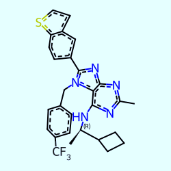 Cc1nc(N[C@H](C)C2CCC2)c2c(n1)nc(-c1ccc3sccc3c1)n2Cc1ccc(C(F)(F)F)cc1